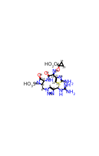 N=C(N)NCc1cn(C[C@@H]2[C@H](NC(=O)/C(=N/OC3(C(=O)O)CC3)c3csc(N)n3)C(=O)N2S(=O)(=O)O)nn1